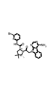 C[C@H]1N(C(=O)Cn2c3ccccc3c3c(N)ncnc32)[C@H](C(=O)Nc2cccc(Br)n2)CC1(C)C